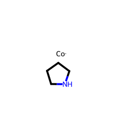 C1CCNC1.[Co]